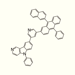 c1ccc(-c2c3ccccc3c(-c3ccc4ccccc4c3)c3cc(-c4cncc(-c5ccc6c(c5)c5cnccc5n6-c5ccccc5)c4)ccc23)cc1